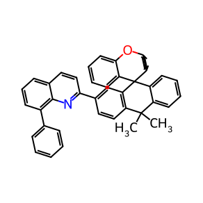 CC1(C)c2ccccc2C2(c3ccccc3Oc3ccccc32)c2cc(-c3ccc4cccc(-c5ccccc5)c4n3)ccc21